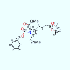 CNCC1C[C@@H](CCCB2OC(C)(C)C(C)(C)O2)[C@@H](C(=O)OC)N1C(=O)OCc1ccccc1